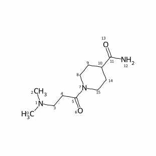 CN(C)CCC(=O)N1CCC(C(N)=O)CC1